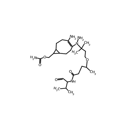 CC(CCC(=O)NC(C=O)C(C)C)OCCC(C)(C)N(N)/C1=C(\N)CCC2C(CC1)C2COC(N)=O